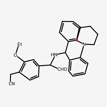 CCOc1cc(C(C=O)NC(c2ccccc2)c2ccccc2N2CCCCC2)ccc1CC#N